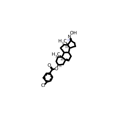 C[C@]12CC[C@H](OC(=O)c3ccc(Cl)cc3)CC1=CCC1C2CC[C@]2(C)/C(=N/O)CCC12